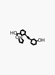 O=C(O)c1cccc(C#Cc2cccc(O)c2)c1-n1cccc1